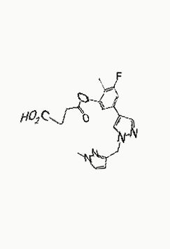 Cc1c(F)cc(-c2cnn(Cc3ccn(C)n3)c2)cc1OC(=O)CCC(=O)O